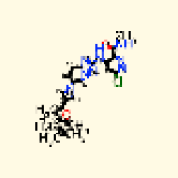 CNC(=O)c1nnc(Cl)cc1Nc1nc2ccc(N3CC(C(C)O[Si](C)(C)C(C)(C)C)C3)cn2n1